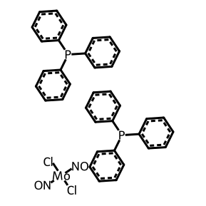 O=[N][Mo]([Cl])([Cl])[N]=O.c1ccc(P(c2ccccc2)c2ccccc2)cc1.c1ccc(P(c2ccccc2)c2ccccc2)cc1